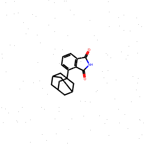 O=C1NC(=O)c2c1cccc2C12CC3CC(CC(C3)C1)C2